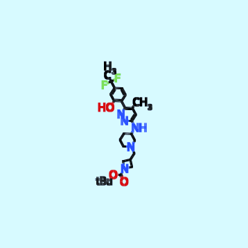 Cc1cc(N[C@@H]2CCCN(CC3CN(C(=O)OC(C)(C)C)C3)C2)nnc1-c1ccc(C(C)(F)F)cc1O